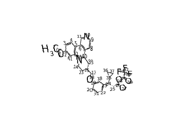 COc1ccc(-c2cccnc2)c(N2CCC(COc3cccc([C@@H](CC(=O)OC(=O)C(F)(F)F)C4CC4)c3)CC2)c1